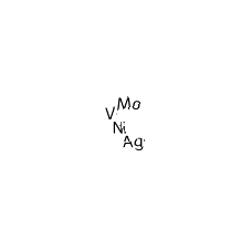 [Ag].[Mo].[Ni].[V]